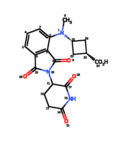 CN(c1cccc2c1C(=O)N(C1CCC(=O)NC1=O)C2=O)[C@H]1C[C@H](C(=O)O)C1